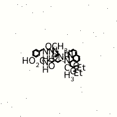 CCOC(OCC)[C@@H](C)C(NC[C@H](CCC(=O)CNC(=O)O)NC(=O)CN(C)NC(=O)NCc1ccccc1)c1cccc2cccnc12